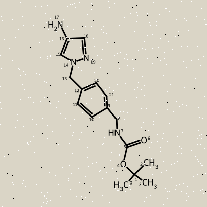 CC(C)(C)OC(=O)NCc1ccc(Cn2cc(N)cn2)cc1